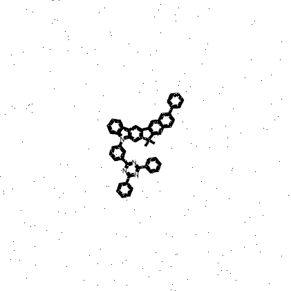 CC1(C)c2cc3ccc(-c4ccccc4)cc3cc2-c2cc3c4ccccc4n(-c4cccc(-c5nc(-c6ccccc6)nc(-c6ccccc6)n5)c4)c3cc21